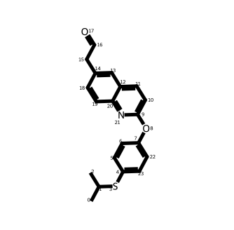 CC(C)Sc1ccc(Oc2ccc3cc(CC=O)ccc3n2)cc1